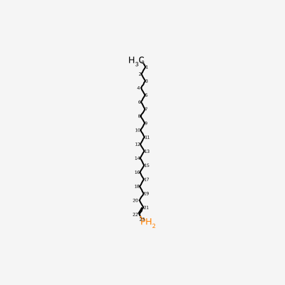 CCCCCCCCCCCCCCCCCCCCCC=CP